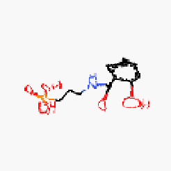 O=C(NCCCP(=O)(O)O)c1ccccc1O